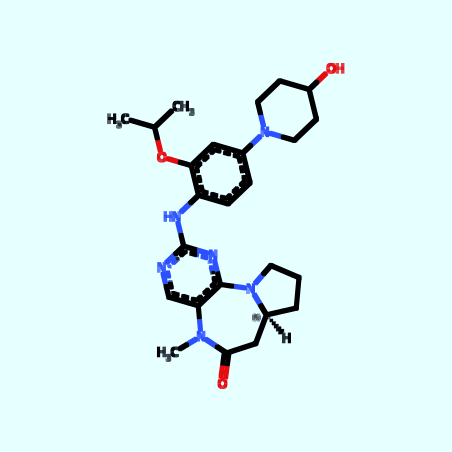 CC(C)Oc1cc(N2CCC(O)CC2)ccc1Nc1ncc2c(n1)N1CCC[C@H]1CC(=O)N2C